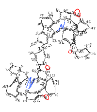 c1ccc2c(c1)cc(N(c1ccc3oc4cc(-c5ccc6c(c5)cc(N(c5ccc7c(c5)oc5ccccc57)c5cccc7oc8ccccc8c57)c5ccccc56)ccc4c3c1)c1cccc3oc4ccccc4c13)c1ccccc12